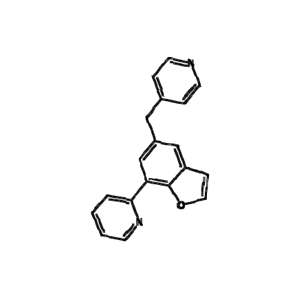 c1ccc(-c2cc(Cc3ccncc3)cc3ccoc23)nc1